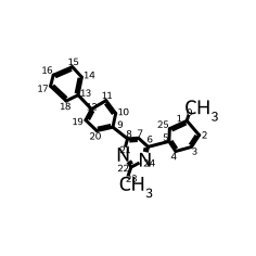 Cc1cccc(-c2cc(-c3ccc(-c4ccccc4)cc3)nc(C)n2)c1